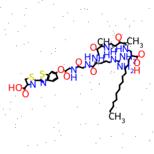 CCCCCCCCCCCCCCC(CN[C@@H](C)C(=O)CCN[C@@H](C)C(=O)CN[C@@H](CCCNC(N)N)C(=O)NCC(=O)NCC(=O)Oc1ccc2nc(C3=NC(C(=O)O)CS3)sc2c1)C(=O)O